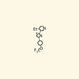 CCc1ccncc1-c1nc(-c2ccc(OC(F)(F)F)cc2)cs1